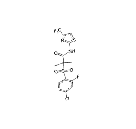 CC(C)(C(=O)Nc1nc(C(F)(F)F)cs1)S(=O)(=O)c1ccc(Cl)cc1F